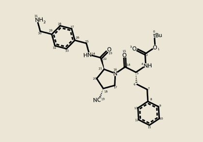 CC(C)(C)OC(=O)N[C@H](CCc1ccccc1)C(=O)N1C[C@H](C#N)C[C@H]1C(=O)NCc1ccc(CN)cc1